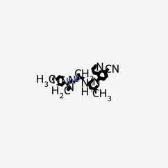 C=N/C(=N\C=C(/C)CN[C@@H]1C[C@H](C)CN(c2ccc(C#N)c3ncccc23)C1)N1CCN(C)CC1